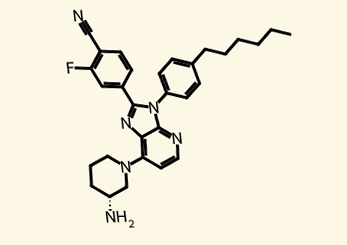 CCCCCCc1ccc(-n2c(-c3ccc(C#N)c(F)c3)nc3c(N4CCC[C@@H](N)C4)ccnc32)cc1